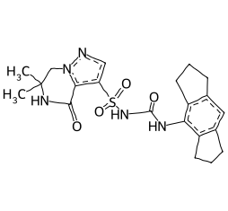 CC1(C)Cn2ncc(S(=O)(=O)NC(=O)Nc3c4c(cc5c3CCC5)CCC4)c2C(=O)N1